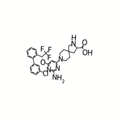 Nc1nc(O[C@H](c2ccccc2-c2cccc(Cl)c2)C(F)(F)F)cc(N2CCC3(CC2)CNC(C(=O)O)C3)n1